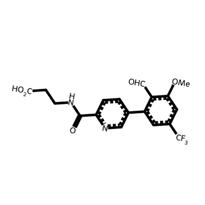 COc1cc(C(F)(F)F)cc(-c2ccc(C(=O)NCCC(=O)O)nc2)c1C=O